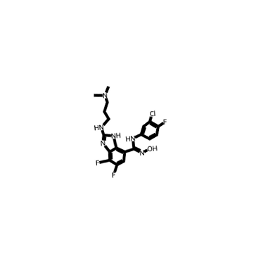 CN(C)CCCNc1nc2c(F)c(F)cc(/C(=N/O)Nc3ccc(F)c(Cl)c3)c2[nH]1